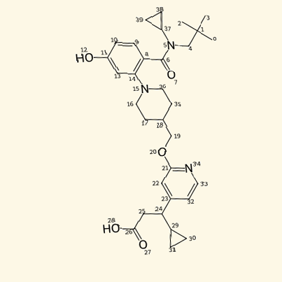 CC(C)(C)CN(C(=O)c1ccc(O)cc1N1CCC(COc2cc(C(CC(=O)O)C3CC3)ccn2)CC1)C1CC1